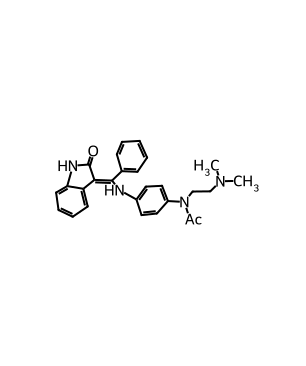 CC(=O)N(CCN(C)C)c1ccc(NC(=C2C(=O)Nc3ccccc32)c2ccccc2)cc1